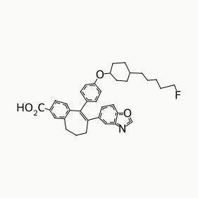 O=C(O)c1ccc2c(c1)CCCC(c1ccc3ocnc3c1)=C2c1ccc(OC2CCC(CCCCCF)CC2)cc1